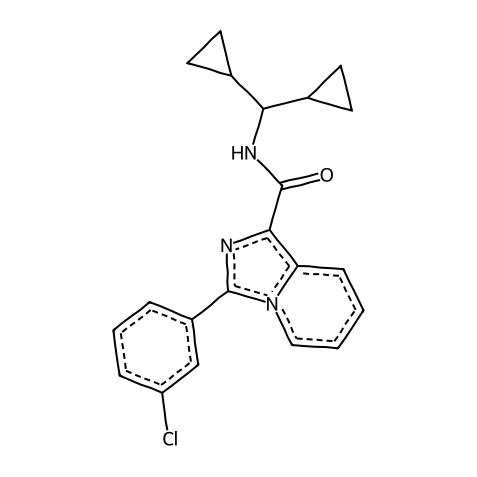 O=C(NC(C1CC1)C1CC1)c1nc(-c2cccc(Cl)c2)n2ccccc12